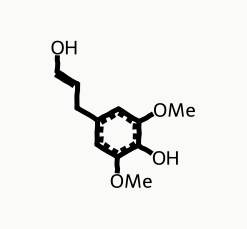 COc1cc(CC=CO)cc(OC)c1O